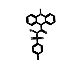 Cc1ccc(S(=O)(=O)N(C(=O)C2c3ccccc3N(C)c3ccccc32)C(C)C)cc1